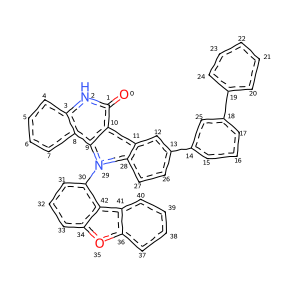 O=c1[nH]c2ccccc2c2c1c1cc(-c3cccc(-c4ccccc4)c3)ccc1n2-c1cccc2oc3ccccc3c12